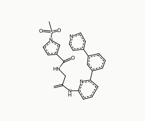 C=C(CNC(=O)c1ccn(S(C)(=O)=O)c1)Nc1cccc(-c2cccc(-c3ccncc3)c2)n1